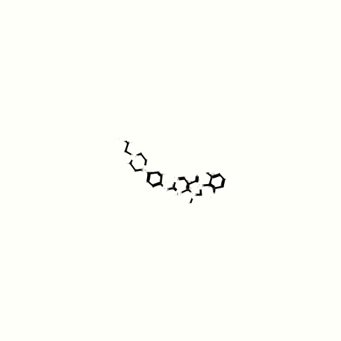 CN1CN(c2c(Cl)cccc2Cl)C(=O)c2cnc(Nc3ccc(N4CCN(CCO)CC4)cc3)nc21